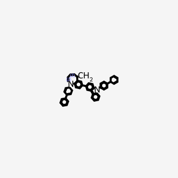 C=C1/C=C\C=C/N(C2C=CC(c3ccccc3)=CC2)c2ccc(-c3ccc4c(c3)c3ccccc3n4-c3ccc(C4C=CC=CC4)cc3)cc21